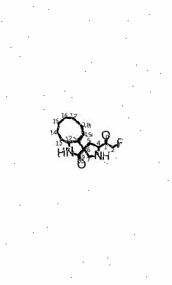 O=C(CF)C1CC2(CN1)C(=O)NC1CCCCCCCC12